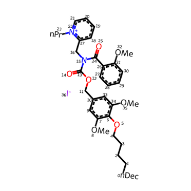 CCCCCCCCCCCCCCOc1c(OC)cc(COC(=O)N(Cc2cccc[n+]2CCC)C(=O)c2ccccc2OC)cc1OC.[I-]